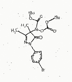 CC1=NN(c2ccc(Br)cc2)C(=O)C1(C)N(OC(=O)OC(C)(C)C)C(=O)OC(C)(C)C